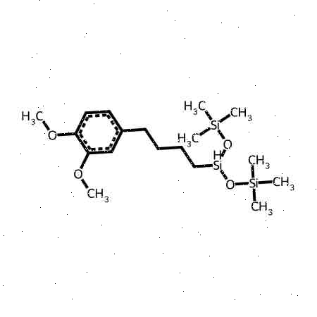 COc1ccc(CCCC[SiH](O[Si](C)(C)C)O[Si](C)(C)C)cc1OC